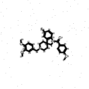 COc1ccc(C(=O)N2CC3(CCN(Cc4ccc(OC)c(OC)c4)CC3)c3cc(F)ccc32)cc1